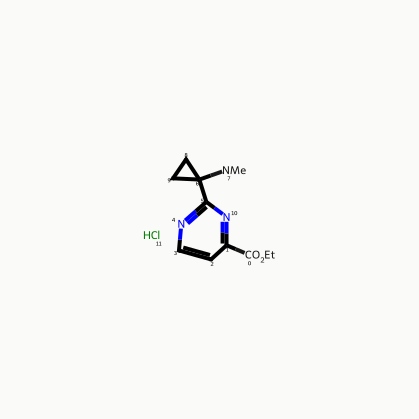 CCOC(=O)c1ccnc(C2(NC)CC2)n1.Cl